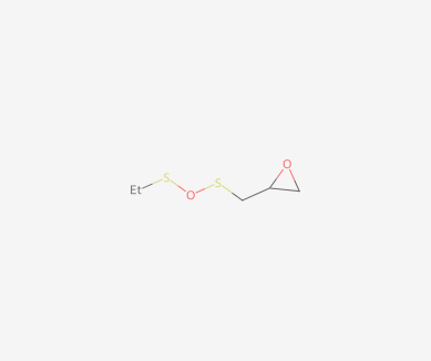 CCSOSCC1CO1